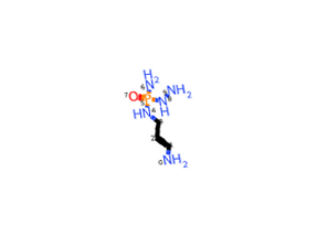 NC=CCNP(N)(=O)NN